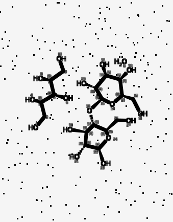 O.OC[C@@H](O)[C@H](O)[C@@H](O)CO.OC[C@H]1O[C@@H](O[C@H]2[C@H](O)[C@@H](O)[C@H](O)O[C@@H]2CO)[C@H](O)[C@@H](O)[C@H]1O